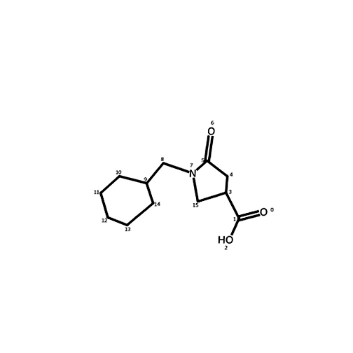 O=C(O)C1CC(=O)N(CC2CCCCC2)C1